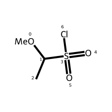 COC(C)S(=O)(=O)Cl